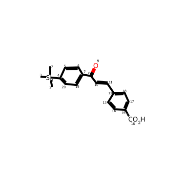 C[Si](C)(C)c1ccc(C(=O)C=Cc2ccc(C(=O)O)cc2)cc1